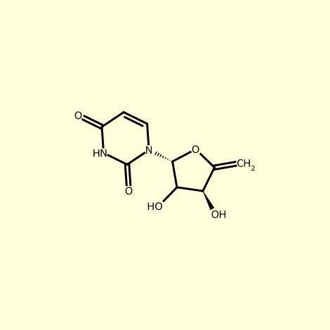 C=C1O[C@@H](n2ccc(=O)[nH]c2=O)C(O)[C@@H]1O